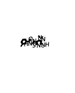 CNc1nc2sc(NC(=O)c3cccc(C)c3)nc2c2c1ncn2C